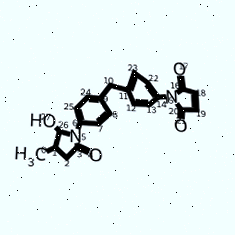 CC1CC(=O)N(c2ccc(Cc3ccc(N4C(=O)C=CC4=O)cc3)cc2)C1O